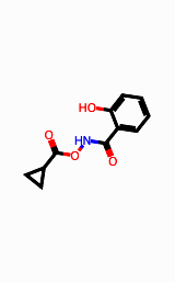 O=C(NOC(=O)C1CC1)c1ccccc1O